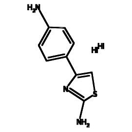 I.I.Nc1ccc(-c2csc(N)n2)cc1